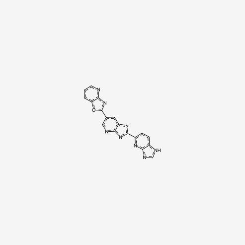 c1cnc2nc(-c3cnc4nc(-c5ccc6[nH]cnc6n5)sc4c3)oc2c1